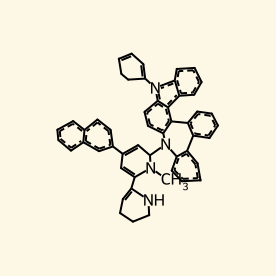 CN1C(C2=CCCCN2)=CC(c2ccc3ccccc3c2)=CC1N1c2ccccc2-c2ccccc2-c2c1ccc1c2c2ccccc2n1C1=CC=CCC1